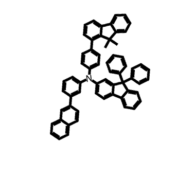 CC1(C)c2ccccc2-c2cccc(-c3ccc(N(c4cccc(-c5ccc6ccccc6c5)c4)c4ccc5c(c4)C(c4ccccc4)(c4ccccc4)c4ccccc4-5)cc3)c21